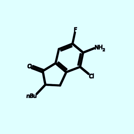 CCCCC1Cc2c(cc(F)c(N)c2Cl)C1=O